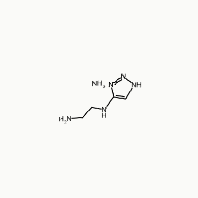 N.NCCNc1c[nH]nn1